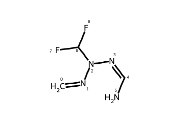 C=NN(/N=C\N)C(F)F